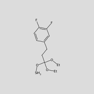 CCOC(CCc1ccc(F)c(F)c1)(O[SiH3])OCC